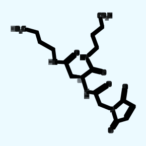 O=C(O)CCCNC(=O)C[C@H](NC(=O)CN1C(=O)C=CC1=O)C(=O)NCCCC(=O)O